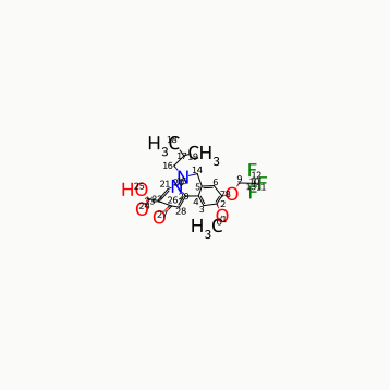 COc1cc2c(cc1OCC(F)(F)F)CN(CC(C)C)n1cc(C(=O)O)c(=O)cc1-2